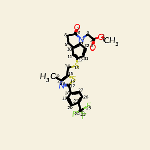 COC(=O)CN1C(=O)CCc2cc(SCc3sc(-c4ccc(C(F)(F)F)cc4)nc3C)ccc21